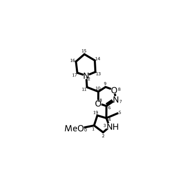 COC1CNC(C)(C2=NOCC(CN3CCCCC3)O2)C1